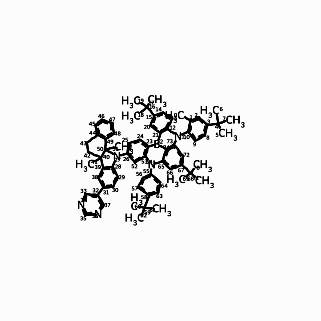 Cc1cc(C(C)(C)C)ccc1N1c2ccc(C(C)(C)C)cc2B2c3ccc(N4c5ccc(-c6cncnc6)cc5C5(C)CCc6ccccc6C45C)cc3N(c3ccc(C(C)(C)C)cc3)c3cc(C(C)(C)C)cc1c32